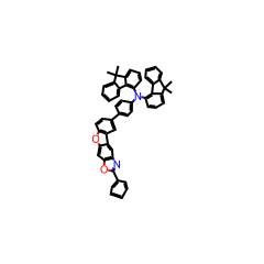 CC1(C)c2ccccc2-c2c(N(c3ccc(-c4ccc5oc6cc7oc(-c8ccccc8)nc7cc6c5c4)cc3)c3cccc4c3-c3ccccc3C4(C)C)cccc21